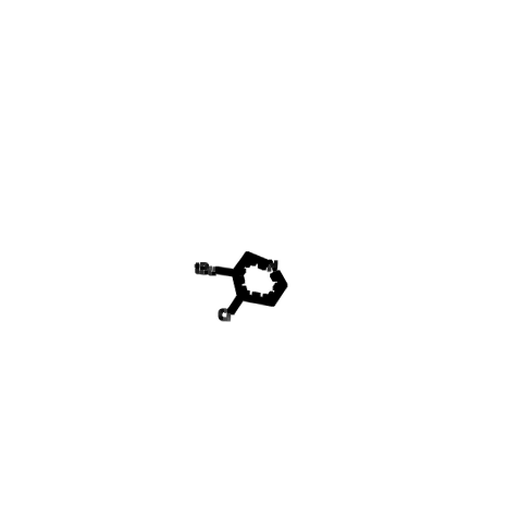 CC(C)(C)c1cnccc1Cl